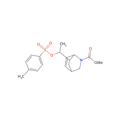 COC(=O)N1CC2C=CC1C(C(C)OS(=O)(=O)c1ccc(C)cc1)C2